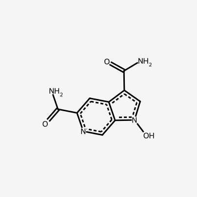 NC(=O)c1cc2c(C(N)=O)cn(O)c2cn1